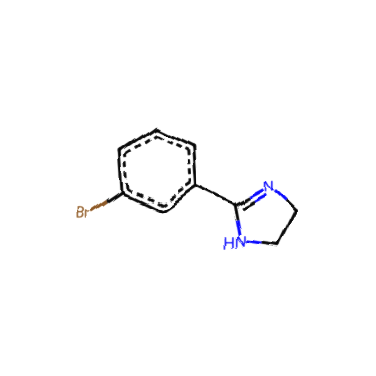 Brc1cccc(C2=NCCN2)c1